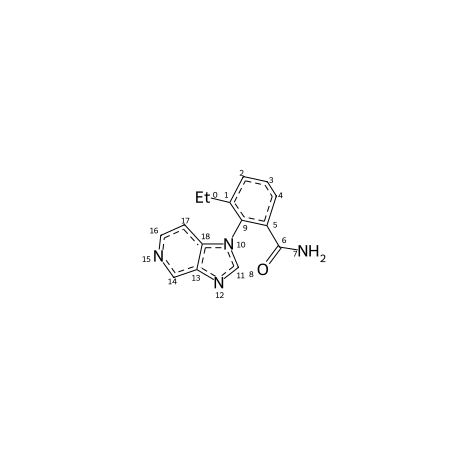 CCc1cccc(C(N)=O)c1-n1cnc2cnccc21